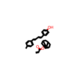 C=CC(=O)OC12CC3CC(CC(C3)C1)C2.Cc1ccc(C=CC=Cc2ccc(O)cc2)cc1